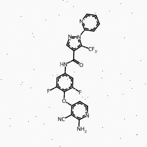 N#Cc1c(Oc2c(F)cc(NC(=O)c3cnn(-c4ccccn4)c3C(F)(F)F)cc2F)ccnc1N